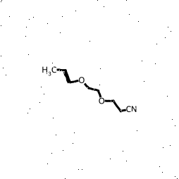 CC=COCCOCCC#N